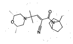 [CH2]C12CCC(CC1)N2C(=O)C(C#N)=CC(C)(C)N1C[C@@H](C)O[C@@H](C)C1